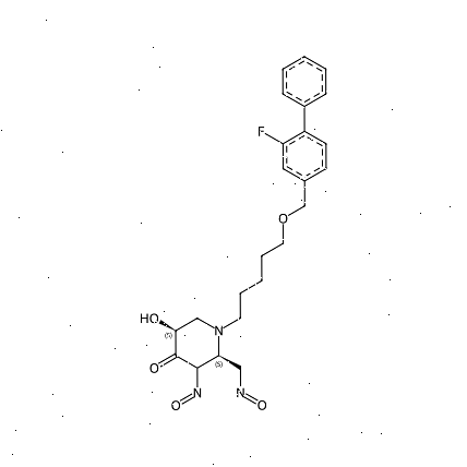 O=NC[C@H]1C(N=O)C(=O)[C@@H](O)CN1CCCCCOCc1ccc(-c2ccccc2)c(F)c1